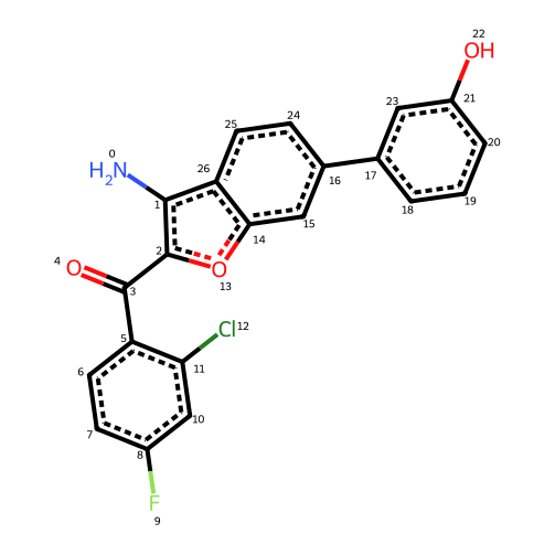 Nc1c(C(=O)c2ccc(F)cc2Cl)oc2cc(-c3cccc(O)c3)ccc12